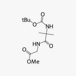 COC(=O)CNC(=O)C(C)(C)NC(=O)OC(C)(C)C